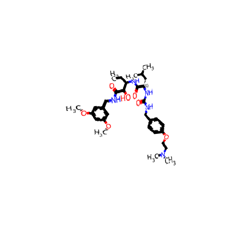 CCC(NC(=O)[C@H](CC(C)C)NC(=O)NCc1ccc(OCCN(C)C)cc1)C(O)C(=O)NCc1cc(OC)cc(OC)c1